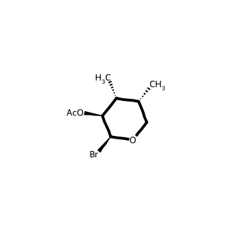 CC(=O)O[C@H]1[C@H](C)[C@H](C)CO[C@H]1Br